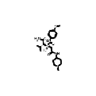 COc1ccc(S(=O)(=O)[N+](O)(CC(=O)NC2CCN(C)CC2)[C@@H](C(N)=O)C(C)C)cc1